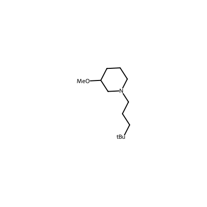 COC1CCCN(CCCC(C)(C)C)C1